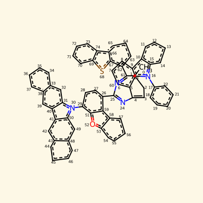 CC1C/C=C(c2cccc3c4ccccc4n(-c4ccccc4)c23)/N=C(c2ccc(-n3c4cc5ccccc5cc4c4cc5ccccc5cc43)c3oc4ccccc4c23)\N=C/1c1cccc2c1sc1ccccc12